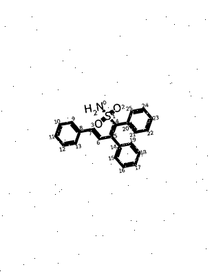 NS(=O)(=O)C(=C(C=Cc1ccccc1)c1ccccc1)c1ccccc1